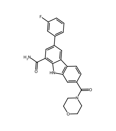 NC(=O)c1cc(-c2cccc(F)c2)cc2c1[nH]c1cc(C(=O)N3CCOCC3)ccc12